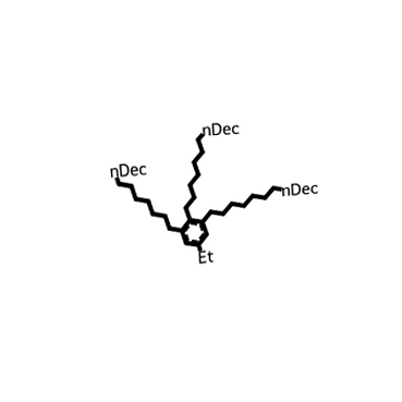 CCCCCCCCCCCCCCCCCc1cc(CC)cc(CCCCCCCCCCCCCCCCC)c1CCCCCCCCCCCCCCCCC